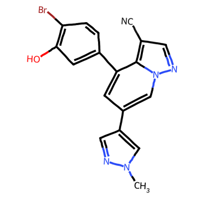 Cn1cc(-c2cc(-c3ccc(Br)c(O)c3)c3c(C#N)cnn3c2)cn1